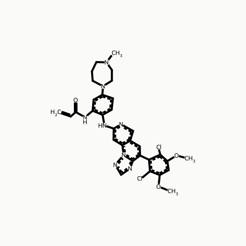 C=CC(=O)Nc1cc(N2CCCN(C)CC2)ccc1Nc1cc2c(cn1)cc(-c1c(Cl)c(OC)cc(OC)c1Cl)c1ncnn12